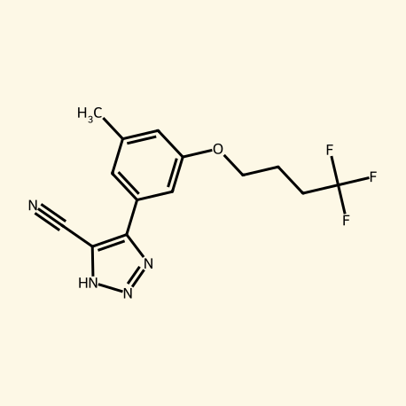 Cc1cc(OCCCC(F)(F)F)cc(-c2nn[nH]c2C#N)c1